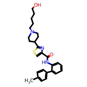 Cc1ccc(-c2ccccc2NC(=O)c2csc(C3CCN(CCCCCO)CC3)n2)cc1